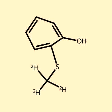 [2H]C([2H])([2H])Sc1ccccc1O